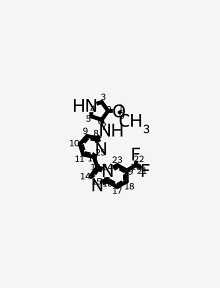 COC1CNCC1Nc1cccc(-c2cnc3ccc(C(F)F)cn23)n1